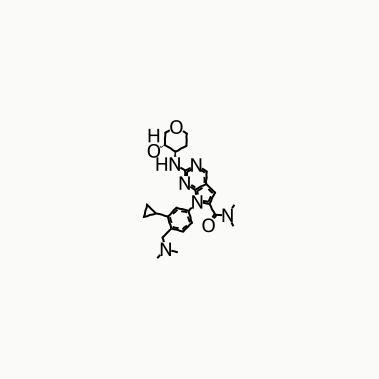 CN(C)Cc1ccc(-n2c(C(=O)N(C)C)cc3cnc(N[C@@H]4CCOC[C@H]4O)nc32)cc1C1CC1